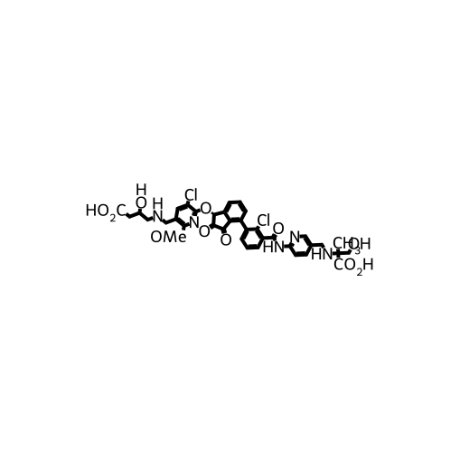 COc1nc(O[C@@H]2C(=O)C(=O)c3c(-c4cccc(C(=O)Nc5ccc(CNC(C)(CO)C(=O)O)cn5)c4Cl)cccc32)c(Cl)cc1CNCC(O)CC(=O)O